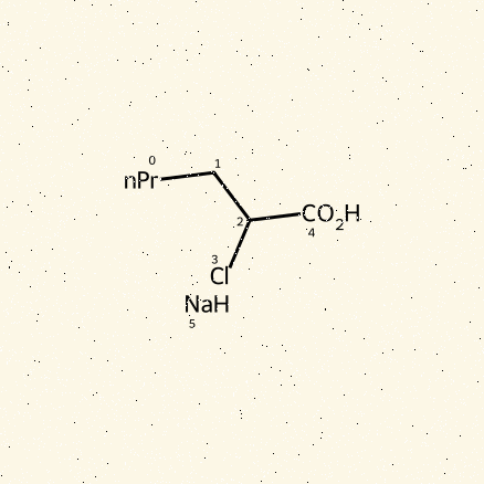 CCCCC(Cl)C(=O)O.[NaH]